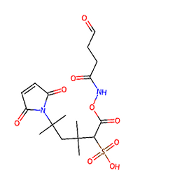 CC(C)(CC(C)(C)N1C(=O)C=CC1=O)C(C(=O)ONC(=O)CCC=O)S(=O)(=O)O